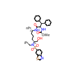 CCC[C@@H](CCC[C@@H](CO)N(CC(C)C)S(=O)(=O)c1ccc2ncsc2c1)NC(=O)[C@@H](NC(=O)OC)C(c1ccccc1)c1ccccc1